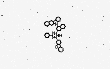 c1ccc(C2=NC(c3ccc4c(c3)oc3ccccc34)NC(c3cc(-n4c5ccccc5c5cc6ccccc6cc54)c4ccccc4c3)=N2)cc1